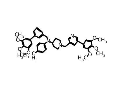 COc1cc(-c2cncc(CN3CCC(N(Cc4cccc(-c5cc(OC)c(OC)c(OC)c5)c4)c4ccc(C)cc4)CC3)c2)cc(OC)c1OC